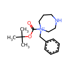 CC(C)(C)OC(=O)[N+]1(Cc2ccccc2)CCCNCC1